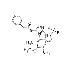 COC1C(C)=CC23C=CC=C(C(F)(F)F)N2c2ncc(SC(=O)Cc4ccccc4)n2C3=C1C